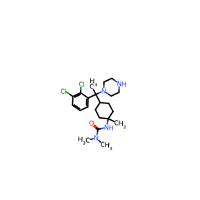 CN(C)C(=O)NC1(C)CCC(C(C)(c2cccc(Cl)c2Cl)N2CCNCC2)CC1